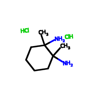 CC1(N)CCCCC1(C)N.Cl.Cl